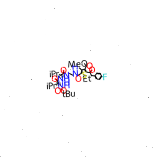 CCC(C(=O)c1sc(C(=O)NCCNC(=O)[C@@H](NC(=O)[C@@H](NC(=O)OC(C)(C)C)C(C)C)C(C)C)c(C)c1C(=O)OC)c1ccc(F)cc1